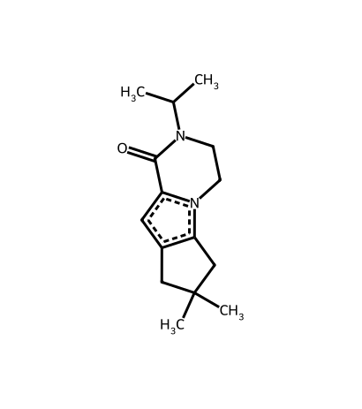 CC(C)N1CCn2c(cc3c2CC(C)(C)C3)C1=O